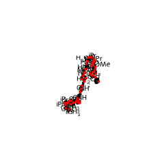 CCC(C)[C@@H]([C@@H](CC(=O)N1CCCC1[C@H](OC)[C@@H](C)C(=O)N[C@@H](Cc1ccccc1)C(=O)O)OC)N(C)C(=O)[C@@H](NC(=O)[C@H](C(C)C)N(C)C(=O)CCCC(=O)NCCCCC1CCC(CCCCNC(=O)CCCCNC(=O)C2CCCN2C(=O)C2CCCN2C(=O)C(C(C)C)N(C)C(=O)C(NC(=O)C(C(C)C)N(C)C)C(C)C)CC1)C(C)C